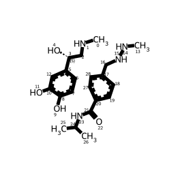 CNC[C@@H](O)c1ccc(O)c(O)c1.CNNCc1ccc(C(=O)NC(C)C)cc1